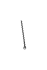 CCCCCCCCCCCCCCCCCCCC=CC=CC=O